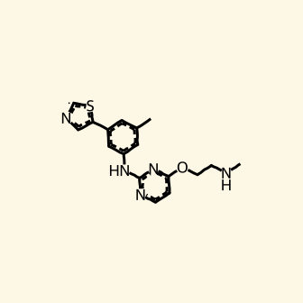 CNCCOc1ccnc(Nc2cc(C)cc(-c3cn[c]s3)c2)n1